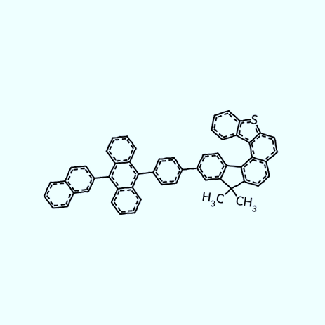 CC1(C)c2cc(-c3ccc(-c4c5ccccc5c(-c5ccc6ccccc6c5)c5ccccc45)cc3)ccc2-c2c1ccc1ccc3sc4ccccc4c3c21